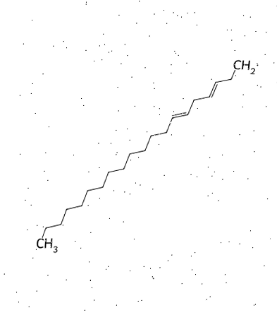 [CH2]CC=CCC=CCCCCCCCCCCCCC